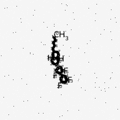 CCCCCCC1CC[C@@H]2C[C@H](c3cc(F)c(-c4cc(F)cc(F)c4)c(F)c3)CC[C@@H]2C1